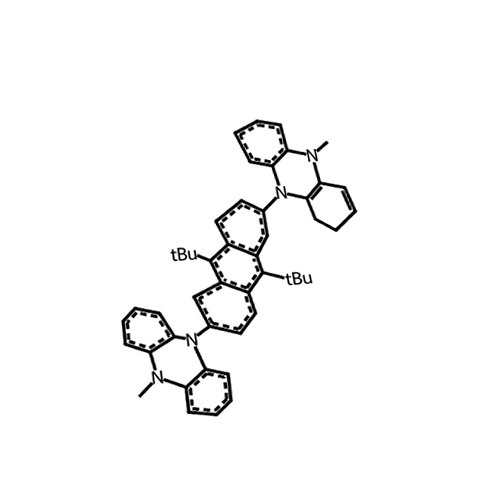 CN1C2=C(CCC=C2)N(c2ccc3c(C(C)(C)C)c4cc(N5c6ccccc6N(C)c6ccccc65)ccc4c(C(C)(C)C)c3c2)c2ccccc21